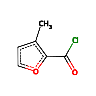 Cc1ccoc1C(=O)Cl